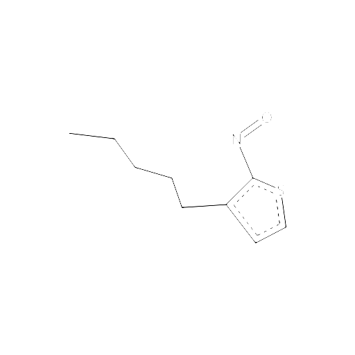 CCCCCc1ccsc1N=O